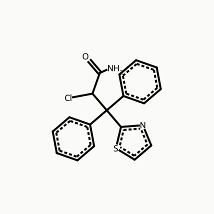 NC(=O)C(Cl)C(c1ccccc1)(c1ccccc1)c1nccs1